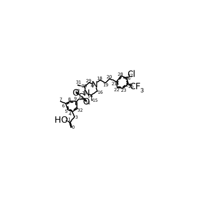 C=C(O)Cc1cc(C)cc(S(=O)(=O)N2[C@H](C)CN(CCCc3ccc(C(F)(F)F)c(Cl)c3)C[C@@H]2C)c1